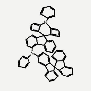 c1ccc(N(c2ccc3c(c2)-c2ccccc2C32c3ccccc3-c3ccccc32)c2cccc3c2-c2ccccc2C32c3ccccc3N(c3ccccc3)c3ccccc32)cc1